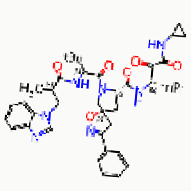 CCC[C@H](NC(=O)[C@@H]1C[C@]2(CC(c3ccccc3)=NO2)CN1C(=O)[C@@H](NC(=O)[C@H](C)Cn1cnc2ccccc21)C(C)(C)C)C(=O)C(=O)NC1CC1